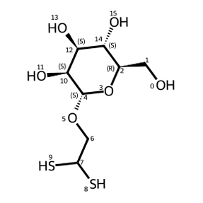 OC[C@H]1O[C@H](OCC(S)S)[C@@H](O)[C@@H](O)[C@@H]1O